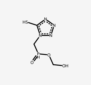 O=[PH](Cn1nnnc1S)OCO